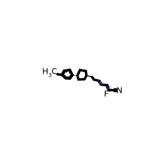 CCc1ccc([C@H]2CC[C@H](CC/C=C/C=C(\F)C#N)CC2)cc1